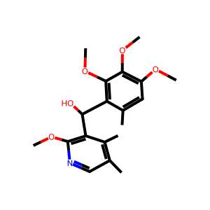 COc1cc(C)c(C(O)c2c(OC)ncc(C)c2C)c(OC)c1OC